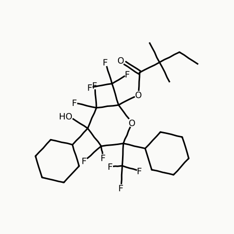 CCC(C)(C)C(=O)OC1(C(F)(F)F)OC(C2CCCCC2)(C(F)(F)F)C(F)(F)C(O)(C2CCCCC2)C1(F)F